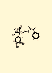 CC(c1ccccc1)N(C)CCCC(C#N)(c1ccc(Br)c(Br)c1)C(C)C